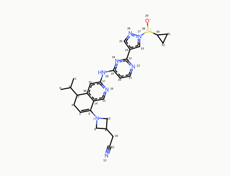 CC(C)C1CC=C(N2CC(CC#N)C2)c2cnc(Nc3ccnc(-c4cnn([S+]([O-])C5CC5)c4)n3)cc21